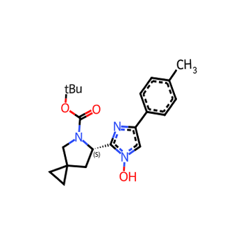 Cc1ccc(-c2cn(O)c([C@@H]3CC4(CC4)CN3C(=O)OC(C)(C)C)n2)cc1